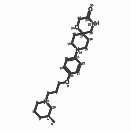 C[C@H]1CCCN(CCCOc2ccc(N3CCC4(CC3)CNC(=O)CO4)cc2)C1